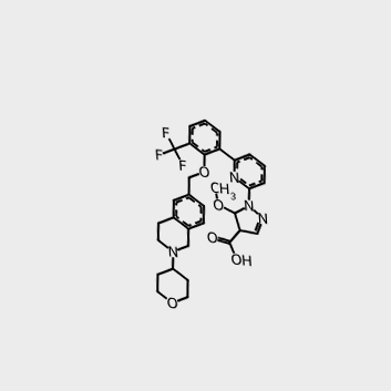 COC1C(C(=O)O)C=NN1c1cccc(-c2cccc(C(F)(F)F)c2OCc2ccc3c(c2)CCN(C2CCOCC2)C3)n1